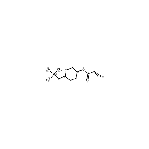 C=CC(=O)OC1CCC(CC(O)(C(F)(F)F)C(F)(F)F)CC1